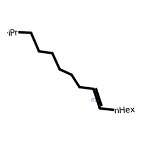 CCCCCC/C=C/CCCCCC[C](C)C